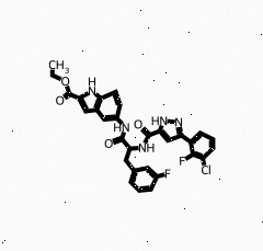 CCOC(=O)c1cc2cc(NC(=O)C(Cc3cccc(F)c3)NC(=O)c3cc(-c4cccc(Cl)c4F)n[nH]3)ccc2[nH]1